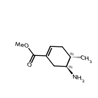 COC(=O)C1=CC[C@H](C)[C@@H](N)C1